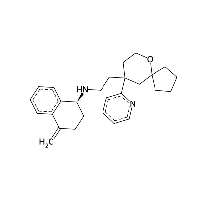 C=C1CC[C@H](NCCC2(c3ccccn3)CCOC3(CCCC3)C2)c2ccccc21